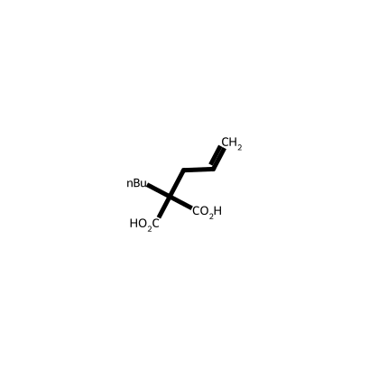 C=CCC(CCCC)(C(=O)O)C(=O)O